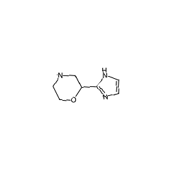 c1c[nH]c(C2C[N]CCO2)n1